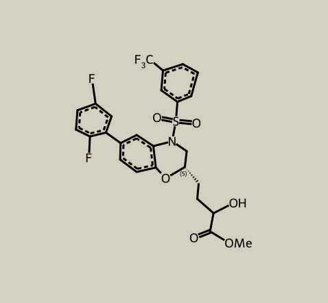 COC(=O)C(O)CC[C@H]1CN(S(=O)(=O)c2cccc(C(F)(F)F)c2)c2cc(-c3cc(F)ccc3F)ccc2O1